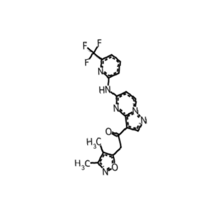 Cc1noc(CC(=O)c2cnn3ccc(Nc4cccc(C(F)(F)F)n4)nc23)c1C